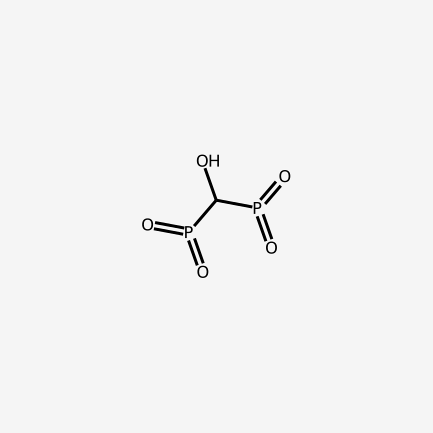 O=P(=O)C(O)P(=O)=O